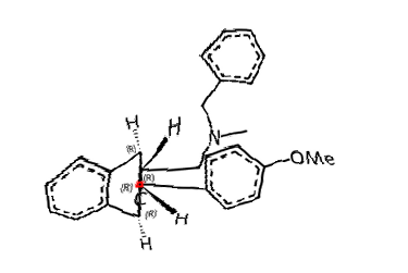 COc1ccc([C@@H]2C[C@H]3c4ccccc4[C@@H]2C[C@H]3CN(C)Cc2ccccc2)cc1